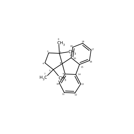 CC1(C)CCC(C)(C)C12c1ccccc1-c1ccccc12